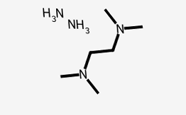 CN(C)CCN(C)C.N.N